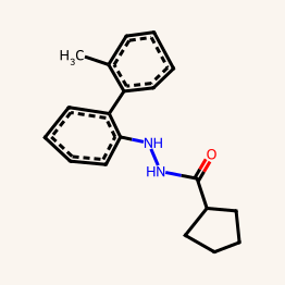 Cc1ccccc1-c1ccccc1NNC(=O)C1CCCC1